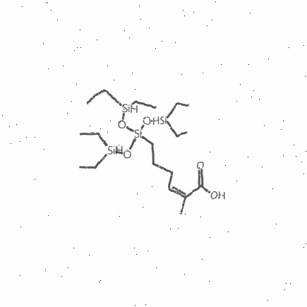 CC[SiH](CC)O[Si](CCCC=C(C)C(=O)O)(O[SiH](CC)CC)O[SiH](CC)CC